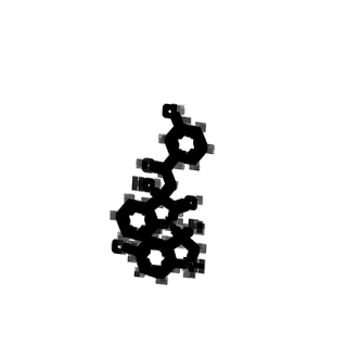 CCC1(N2C(=O)C(O)(CC(=O)c3cccc(Cl)c3)c3ccccc32)CNc2ccc(Cl)cc21